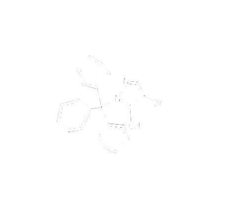 Cc1c(Br)cnn1C(c1ccccc1)(c1ccccc1)c1ccccc1